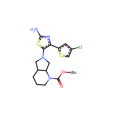 CC(C)(C)OC(=O)N1CCCC2CN(c3sc(N)nc3-c3cc(Cl)cs3)CC21